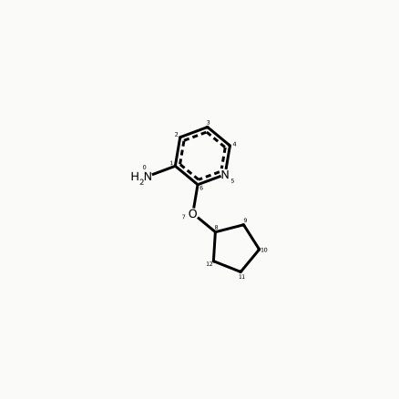 Nc1cccnc1OC1CCCC1